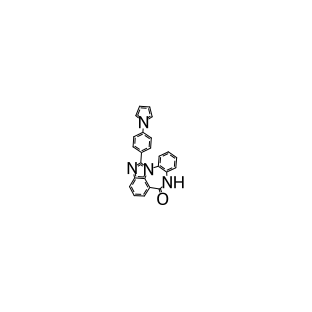 O=C1Nc2ccccc2-n2c(-c3ccc(-n4cccc4)cc3)nc3cccc1c32